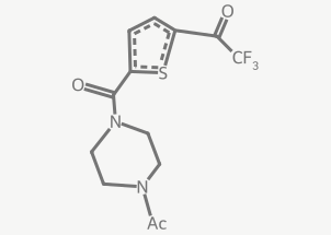 CC(=O)N1CCN(C(=O)c2ccc(C(=O)C(F)(F)F)s2)CC1